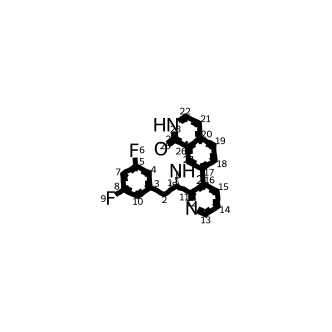 N[C@@H](Cc1cc(F)cc(F)c1)c1ncccc1-c1ccc2cc[nH]c(=O)c2c1